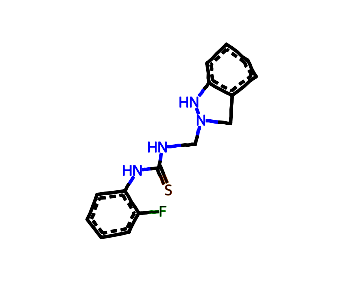 Fc1ccccc1NC(=S)NCN1Cc2ccccc2N1